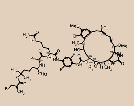 C=C(CBr)C(=O)OC(C)(C)CCCC(C=O)N[C@H](C(=O)N[C@@H](CCCNC(N)=O)C(=O)Nc1cc(F)c(NC(=O)O[C@H]2CC(O)N(C)c3cc(cc(OC)c3Cl)C/C(C)=C/C=C/[C@@H](OC)[C@@]3(O)C[C@H](OC(=O)N3)[C@@H](C)[C@@H]3O[C@@]23C)cc1F)C(C)C